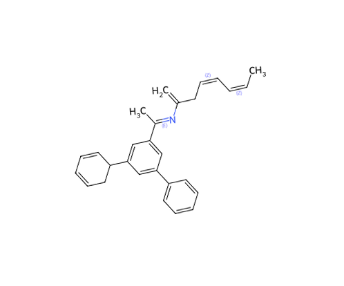 C=C(C/C=C\C=C/C)/N=C(\C)c1cc(-c2ccccc2)cc(C2C=CC=CC2)c1